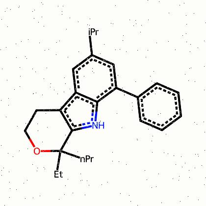 CCCC1(CC)OCCc2c1[nH]c1c(-c3ccccc3)cc(C(C)C)cc21